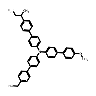 CCC(C)c1ccc(-c2ccc(N(c3ccc(-c4ccc(CO)cc4)cc3)c3ccc(-c4ccc(OC)cc4)cc3)cc2)cc1